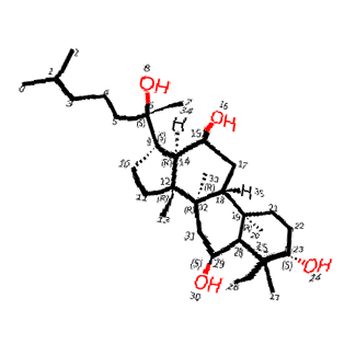 CC(C)CCC[C@](C)(O)[C@H]1CC[C@]2(C)[C@@H]1C(O)C[C@@H]1[C@@]3(C)CC[C@H](O)C(C)(C)C3[C@@H](O)C[C@]12C